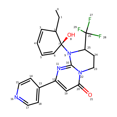 CCC1C=CC=C[C@@]1(O)N1c2nc(-c3ccncc3)cc(=O)n2CCC1C(F)(F)F